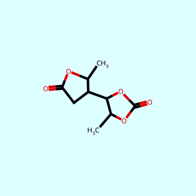 CC1OC(=O)CC1C1OC(=O)OC1C